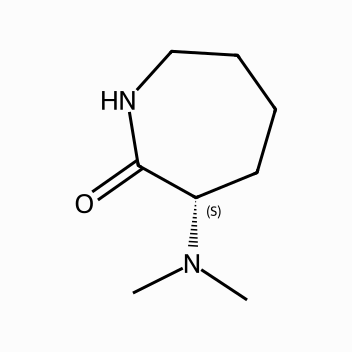 CN(C)[C@H]1CCCCNC1=O